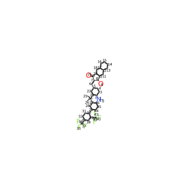 CN1c2ccc(C=C3C(=O)c4cc5ccccc5cc4C3=O)cc2C(C)(C)c2cc(-c3ccc(C(F)(F)F)cc3C(F)(F)F)ccc21